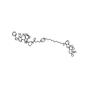 Nc1ncnc2c1c(-c1ccc(Oc3ccccc3)cc1)nn2[C@@H]1CCCN(C(=O)CCCN2CCN(CCCCCCCCCCCSc3cccc4c3CN(C3CCC(=O)NC3=O)C4=O)CC2)C1